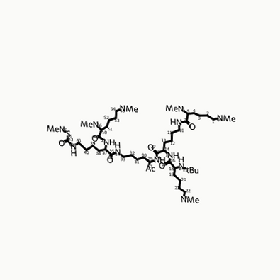 CNCCCCC(NC)C(=O)NCCCCC(NC(=O)C(CCCCNC)NC(C)(C)C)C(=O)NC(CCCCNC(=O)C(CCCCNC(=O)SNC)NC(=O)C(CCCCNC)NC)C(C)=O